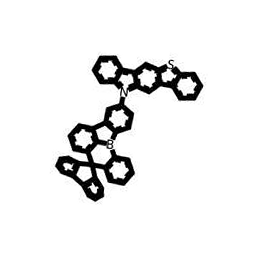 c1ccc2c(c1)B1c3ccc(-n4c5ccccc5c5cc6sc7ccccc7c6cc54)cc3-c3cccc(c31)C21c2ccccc2-c2ccccc21